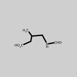 CC(CN[C]=O)CC(=O)O